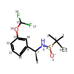 CCC(C)(C)[S+]([O-])N[C@@H](C)c1cccc(OC(F)F)c1